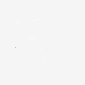 C[C@H](Cc1cccc(CC(=O)NCCc2ccccc2Cl)c1)NC[C@H](O)c1cc(O)cc(O)c1